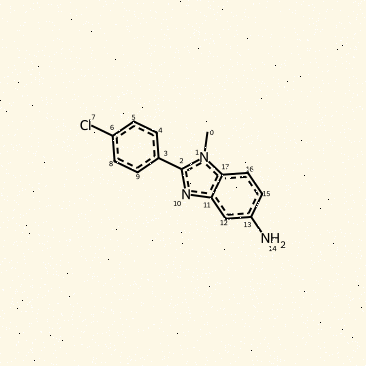 Cn1c(-c2ccc(Cl)cc2)nc2cc(N)ccc21